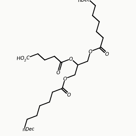 CCCCCCCCCCCCCCCC(=O)OCC(COC(=O)CCCCCCCCCCCCCCC)OC(=O)CCCC(=O)O